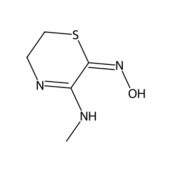 CNC1=NCCS/C1=N/O